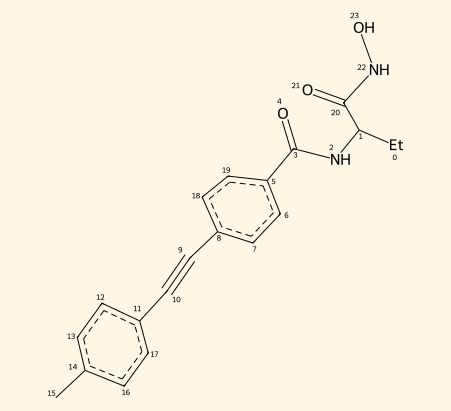 CCC(NC(=O)c1ccc(C#Cc2ccc(C)cc2)cc1)C(=O)NO